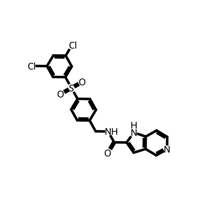 O=C(NCc1ccc(S(=O)(=O)c2cc(Cl)cc(Cl)c2)cc1)c1cc2cnccc2[nH]1